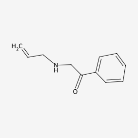 C=CCNCC(=O)c1ccccc1